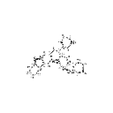 c1cncc(-c2cc3cc4sc5ccccc5c4cc3c3cc4oc5ccccc5c4cc23)c1